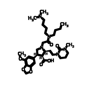 CCCCN(CCCCN(C)C)C(=O)CN1C[C@H](c2cc(OC)c3c(c2)OCO3)[C@@H](C(=O)O)[C@@H]1CCN1CCCN(C)C1=O